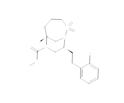 CC(C)(C)OC(=O)N1C[C@H](CCc2ccccc2N)N2C[C@H]1CCCS2(=O)=O